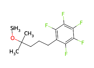 CC(C)(CCCc1c(F)c(F)c(F)c(F)c1F)O[SiH3]